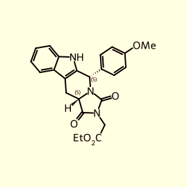 CCOC(=O)CN1C(=O)[C@@H]2Cc3c([nH]c4ccccc34)[C@H](c3ccc(OC)cc3)N2C1=O